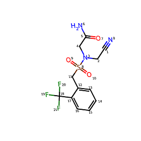 N#CCN(CC(N)=O)S(=O)(=O)Cc1ccccc1C(F)(F)F